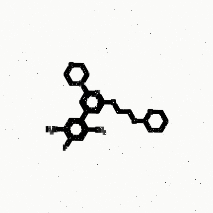 Cc1cc(F)c(N)cc1-c1cc(OCCOC2CCCCO2)nc(N2CCOCC2)c1